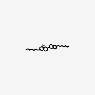 CCCCCCCc1ccc2c(c1)CCC(C1CCC3C[C@H](CCCCCCC)CC[C@@H]3C1)C2